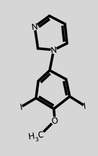 COc1c(I)cc(N2C=CC=NC2)cc1I